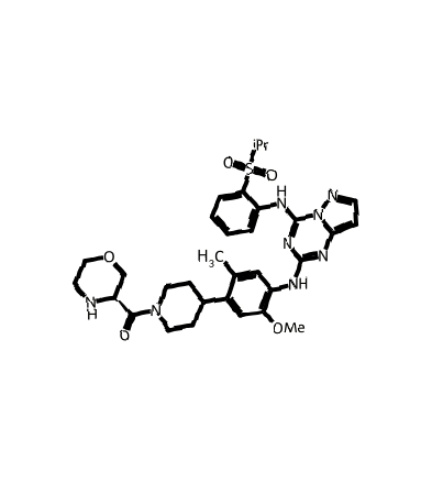 COc1cc(C2CCN(C(=O)[C@@H]3COCCN3)CC2)c(C)cc1Nc1nc(Nc2ccccc2S(=O)(=O)C(C)C)n2nccc2n1